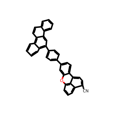 N#Cc1ccc2c3c(cccc13)Oc1cc(-c3ccc(-c4cc5c6ccccc6ccc5c5ccccc45)cc3)ccc1-2